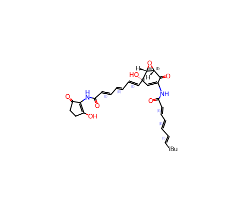 CCC(C)/C=C/C=C/C=C/C(=O)NC1=C[C@@](O)(/C=C/C=C/C=C/C(=O)NC2=C(O)CCC2=O)[C@@H]2O[C@@H]2C1=O